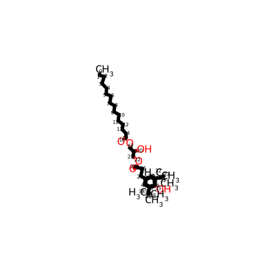 CCCCCCCCCCCCCCCC(=O)OCC(O)COC(=O)CCc1cc(C(C)(C)C)c(O)c(C(C)(C)C)c1